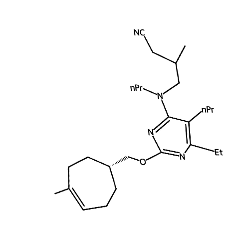 CCCc1c(CC)nc(OC[C@@H]2CCC=C(C)CC2)nc1N(CCC)CC(C)CC#N